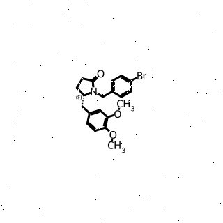 COc1ccc(C[C@@H]2CCC(=O)N2Cc2ccc(Br)cc2)cc1OC